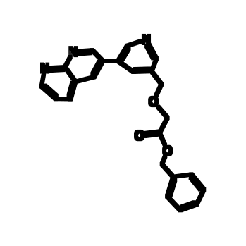 O=C(COCc1cncc(-c2cnc3ncccc3c2)c1)OCc1ccccc1